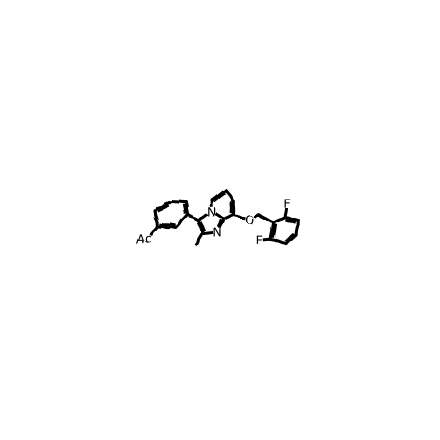 CC(=O)c1cccc(-c2c(C)nc3c(OCc4c(F)cccc4F)cccn23)c1